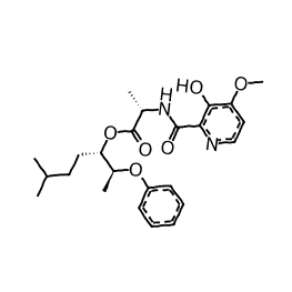 COc1ccnc(C(=O)N[C@@H](C)C(=O)O[C@@H](CCC(C)C)[C@H](C)Oc2ccccc2)c1O